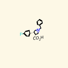 O=C(O)[C@H]1CN(Cc2ccccc2)C[C@H]1c1ccc(F)cc1